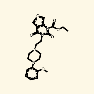 CCOC(=O)n1c(=O)n(CCN2CCN(c3ccccc3OC)CC2)c(=O)c2cocc21